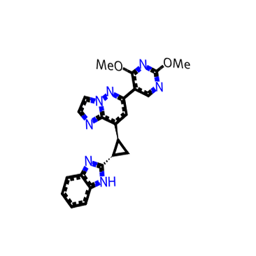 COc1ncc(-c2cc([C@H]3C[C@@H]3c3nc4ccccc4[nH]3)c3nccn3n2)c(OC)n1